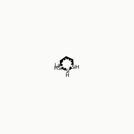 [La].c1c[siH][siH][siH]c1